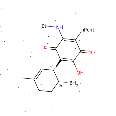 B[C@@H]1CCC(C)=C[C@H]1C1=C(O)C(=O)C(CCCCC)=C(NCC)C1=O